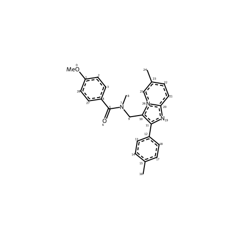 COc1ccc(C(=O)N(C)Cc2c(-c3ccc(C)cc3)nc3ccc(C)cn23)cc1